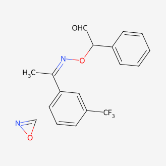 C1=NO1.CC(=NOC(C=O)c1ccccc1)c1cccc(C(F)(F)F)c1